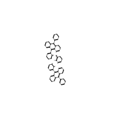 c1ccc(-c2c3ccccc3c(-c3cccc4c3Oc3cccc5c3B4c3cccc(-c4c6ccccc6c(-c6ccccc6)c6ccccc46)c3O5)c3ccccc23)cc1